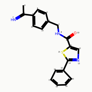 CC(=N)c1ccc(CNC(=O)c2cnc(-c3ccccc3)s2)cc1